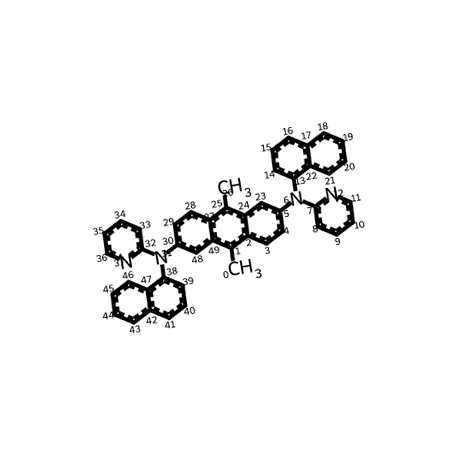 Cc1c2ccc(N(c3ccccn3)c3cccc4ccccc34)cc2c(C)c2ccc(N(c3ccccn3)c3cccc4ccccc34)cc12